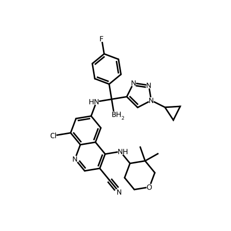 BC(Nc1cc(Cl)c2ncc(C#N)c(NC3CCOCC3(C)C)c2c1)(c1ccc(F)cc1)c1cn(C2CC2)nn1